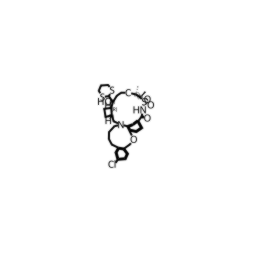 C[C@@H]1[C@@H](C)CCC[C@@](O)(C2SCCCS2)[C@@H]2CC[C@H]2CN2CCCCc3cc(Cl)ccc3COc3ccc(cc32)C(=O)NS1(=O)=O